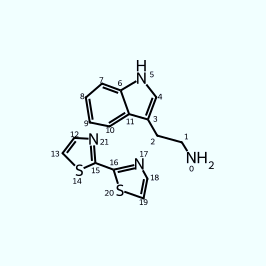 NCCc1c[nH]c2ccccc12.c1csc(-c2nccs2)n1